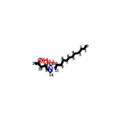 CCCCCCCCCCCC[N+](C)(C)CC(O)C[C](C)O